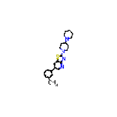 Cc1cccc(-c2cnc3nc(N4CCC(N5CCCCC5)CC4)sc3c2)c1